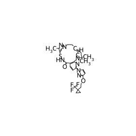 Cc1nn2cc1SNC(=O)c1ccc(-n3ccc(OCCC4(C(F)(F)F)CC4)n3)nc1N1C[C@@H](CCC2)CC1(C)C